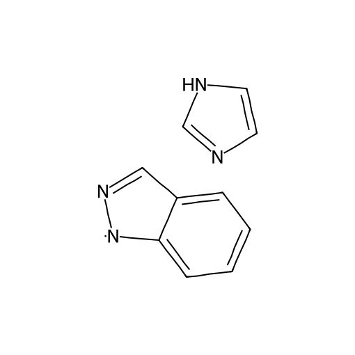 C1=N[N]c2ccccc21.c1c[nH]cn1